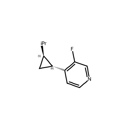 CC(C)[C@@H]1C[C@H]1c1ccncc1F